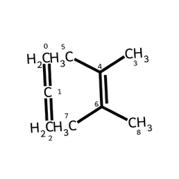 C=C=C.CC(C)=C(C)C